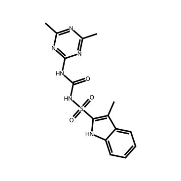 Cc1nc(C)nc(NC(=O)NS(=O)(=O)c2[nH]c3ccccc3c2C)n1